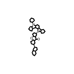 O=c1c2cc(-c3ccc4ccccc4c3)ccc2oc2ccc(-n3c4ccccc4c4ccc5c(c6ccccc6n5-c5ccccc5)c43)cc12